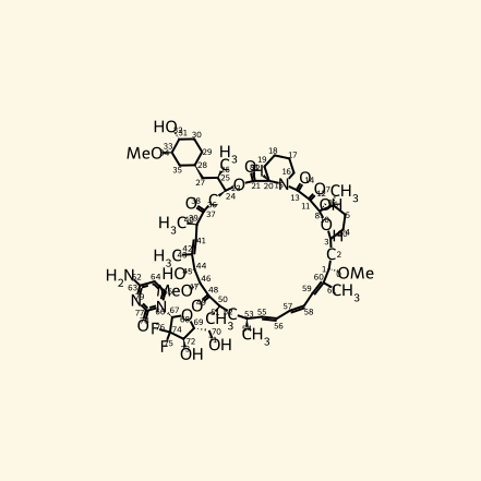 CO[C@H]1C[C@@H]2CC[C@@H](C)[C@@](O)(O2)C(=O)C(=O)N2CCCC[C@H]2C(=O)O[C@H]([C@H](C)C[C@@H]2CC[C@@H](O)[C@H](OC)C2)CC(=O)[C@H](C)/C=C(\C)[C@@H](O)[C@@H](OC)C(=O)[C@H](C)C[C@H](C)/C=C/C=C/C=C/1C.Nc1ccn([C@@H]2O[C@H](CO)[C@@H](O)C2(F)F)c(=O)n1